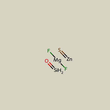 O=[SiH2].[F][Mg][F].[S]=[Zn]